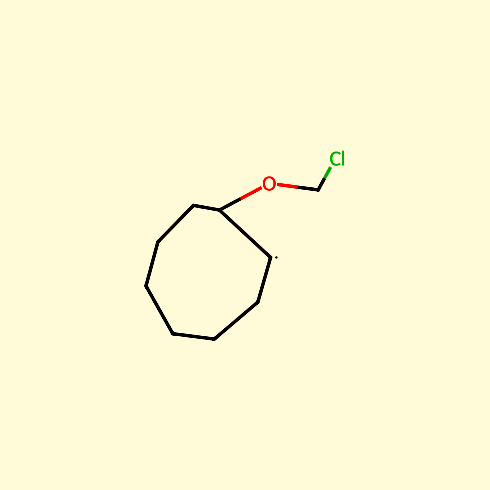 ClCOC1[CH]CCCCCC1